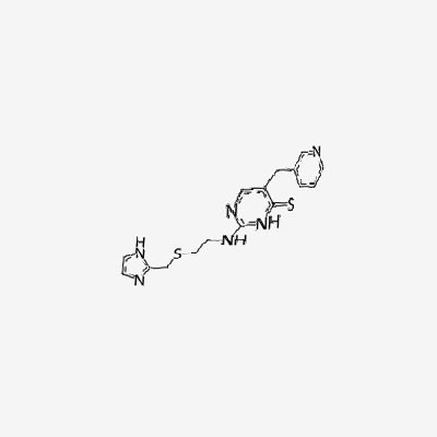 S=c1[nH]c(NCCSCc2ncc[nH]2)ncc1Cc1cccnc1